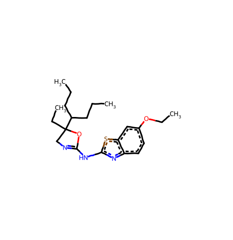 CCCC(CCC)C1(CC)CN=C(Nc2nc3ccc(OCC)cc3s2)O1